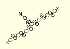 CC(C)(C)C1CCC(C(=O)OC2CCC(OC(=O)C3CCC(C(=O)Oc4ccc(OC(=O)C5CCC(C(=O)O[C@H]6CC[C@H](OC(=O)[C@H]7CC[C@H](C(C)(C)C)CC7)CC6)CC5)c5nc(-c6ccc(C#N)cc6)sc45)CC3)CC2)CC1